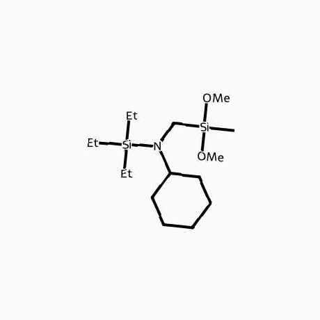 CC[Si](CC)(CC)N(C[Si](C)(OC)OC)C1CCCCC1